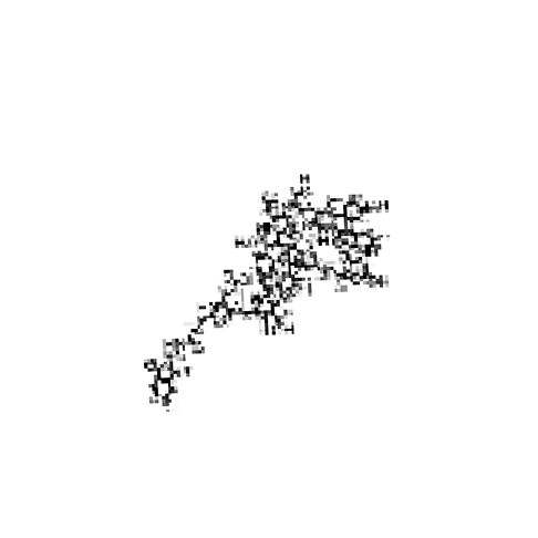 CC[C@H](C)[C@H](NC(=O)[C@H](CO)NC(=O)[C@H](CC(C)C)NC(=O)[C@H](CC(=O)O)NC(=O)[C@H](CO)NC(=O)[C@@H](NC(=O)[C@H](Cc1ccccc1)NC(=O)[C@@H](NC(=O)CNC(=O)[C@H](CCC(=O)O)NC(=O)CSCC(=O)NCCN1C(=O)c2ccc(Cl)cc2C1=O)[C@@H](C)O)[C@@H](C)O)C(=O)N[C@@H](Cc1ccc(O)cc1)C(=O)N[C@@H](CC(C)C)C(=O)N[C@@H](CC(=O)O)C(=O)N[C@H](C)CCCCN